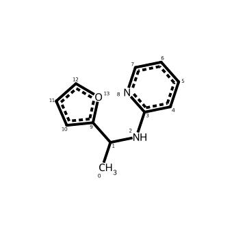 CC(Nc1ccccn1)c1ccco1